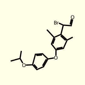 Cc1cc(Oc2ccc(OC(C)C)cc2)cc(C)c1C(Br)C=O